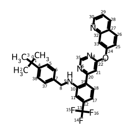 CC(C)(C)c1ccc(CNc2cc(C(F)(F)F)ccc2-c2cc(Oc3ccc4cccnc4c3)ncn2)cc1